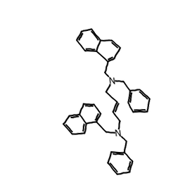 C(=C\CN(Cc1ccccc1)Cc1cccc2ccccc12)/CN(Cc1ccccc1)Cc1cccc2ccccc12